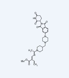 C=C/C(=C\N=C(/C)N1CCC(CN2CCN(c3ccc4c(c3)C(=O)N(C3CCC(=O)NC3=O)C4=O)CC2)CC1)C(=O)OC(C)(C)C